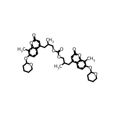 Cc1c(OC2CCCCO2)ccc2c(CC(C)COC(=O)OCC(C)Cc3cc(=O)oc4c(C)c(OC5CCCCO5)ccc34)cc(=O)oc12